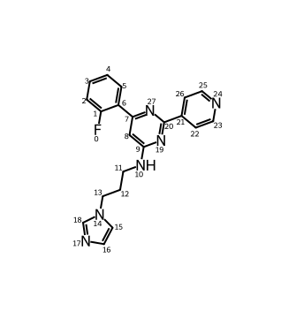 Fc1ccccc1-c1cc(NCCCn2ccnc2)nc(-c2ccncc2)n1